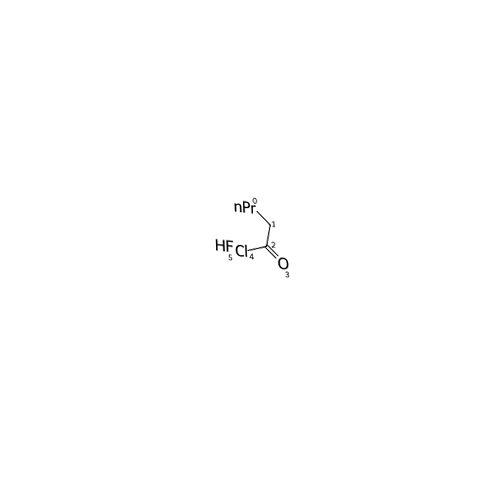 CCCCC(=O)Cl.F